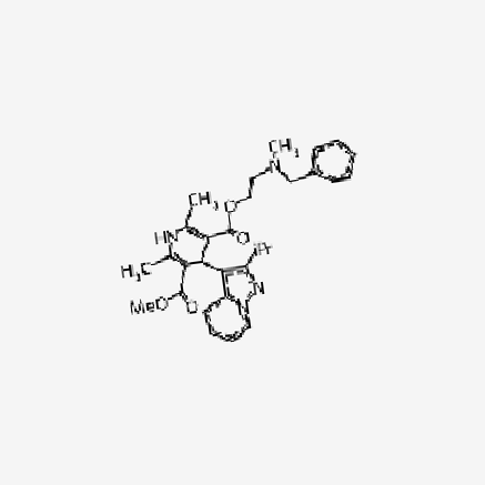 COC(=O)C1=C(C)NC(C)=C(C(=O)OCCN(C)Cc2ccccc2)C1c1c(C(C)C)nn2ccccc12